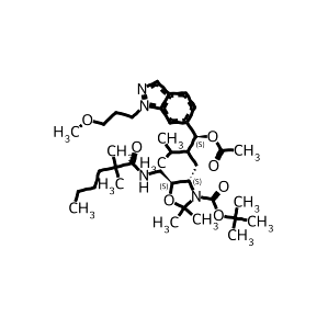 CCCCC(C)(C)C(=O)NC[C@@H]1OC(C)(C)N(C(=O)OC(C)(C)C)[C@H]1CC(C(C)C)[C@H](OC(C)=O)c1ccc2cnn(CCCOC)c2c1